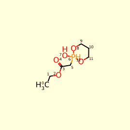 CCOC(=O)C[PH]1(O)OCCCO1